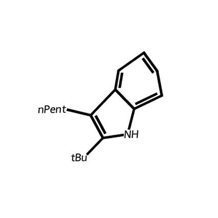 CCCCCc1c(C(C)(C)C)[nH]c2ccccc12